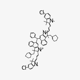 CN1/C(=C/C=C/C2=[N+](C)c3cc(C(c4ccccc4)c4cc5c(c6ccccc46)C(C)(CC4=CCCCC4)C(/C=C/C=C4/N(C)c6ccc(Cl)cc6C4(C)C)=[N+]5C)c4ccccc4c3C2(C)CC2=CCCCC2)C(C)(C)c2cc(Cl)ccc21